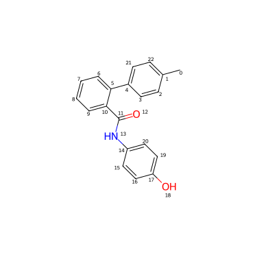 Cc1ccc(-c2ccccc2C(=O)Nc2ccc(O)cc2)cc1